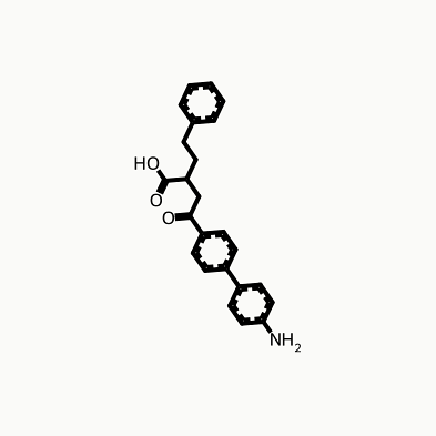 Nc1ccc(-c2ccc(C(=O)CC(CCc3ccccc3)C(=O)O)cc2)cc1